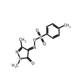 CC1=NN(C)C(=O)C1=NOS(=O)(=O)c1ccc(C)cc1